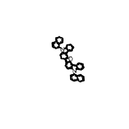 c1ccc2c(-n3c4ccccc4c4c5oc6c(ccc7c6c6ccccc6n7-c6cccc7ccccc67)c5ccc43)cccc2c1